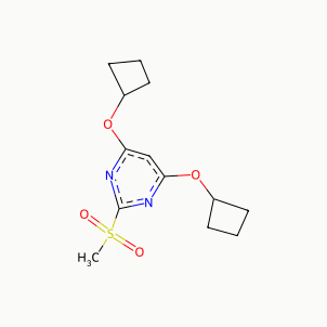 CS(=O)(=O)c1nc(OC2CCC2)cc(OC2CCC2)n1